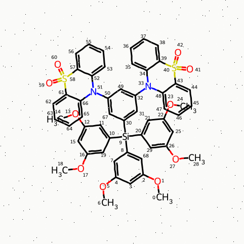 COc1cc(OC)cc([Si](c2cc(OC)cc(OC)c2)(c2cc(OC)cc(OC)c2)c2cc(N3c4ccccc4S(=O)(=O)c4ccccc43)cc(N3c4ccccc4S(=O)(=O)c4ccccc43)c2)c1